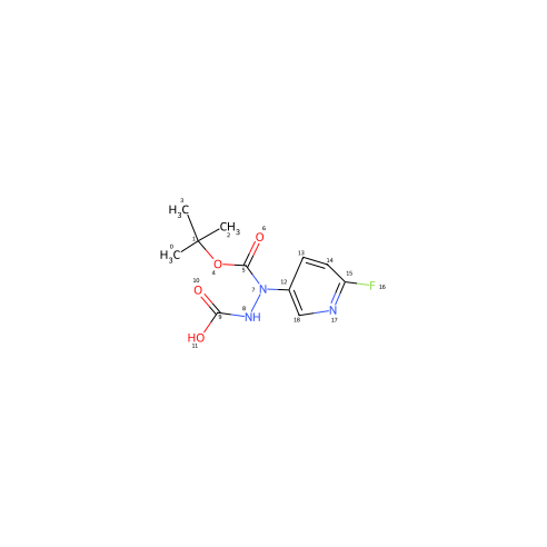 CC(C)(C)OC(=O)N(NC(=O)O)c1ccc(F)nc1